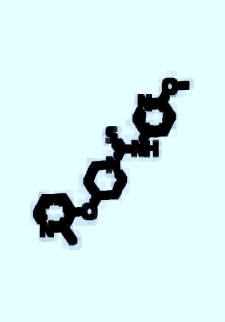 COc1ccc(NC(=S)N2CCC(Oc3cccnc3C)CC2)cn1